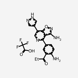 CCC(=O)c1cc(-c2ncc(-c3cn[nH]c3)c3onc(N)c23)ccc1N.O=C(O)C(F)(F)F